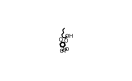 CCCCC(Oc1ccc(S(C)(=O)=O)cc1)C(=O)O